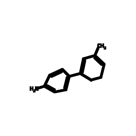 CC1=CC[CH]C(c2ccc(N)cc2)=C1